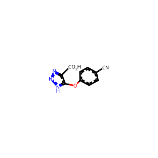 N#Cc1ccc(Oc2[nH]nnc2C(=O)O)cc1